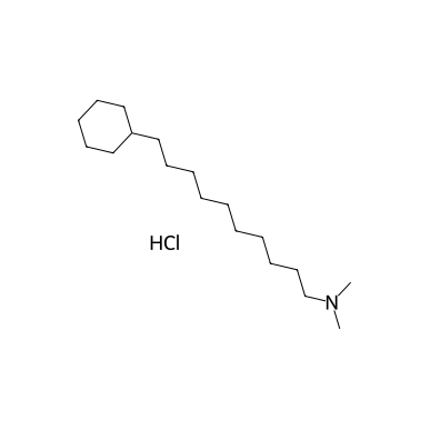 CN(C)CCCCCCCCCCC1CCCCC1.Cl